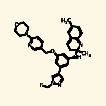 Cc1ccc2c(c1)=CCC(C)(Nc1cc(OCc3ccc(N4CCOCC4)nc3)cc(-c3cnn(CF)c3)c1)N=2